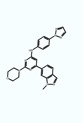 Cn1ncc2ccc(-c3cc(Nc4ccc(-n5nccn5)cc4)nc(N4CCOCC4)n3)cc21